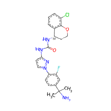 CC(C)(N)c1ccc(-n2ccc(NC(=O)N[C@H]3CCOc4c(Cl)cccc43)n2)c(F)c1